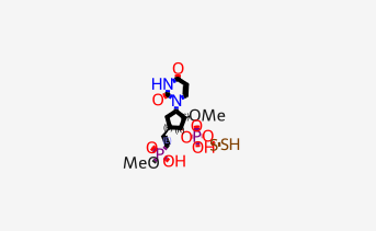 CO[C@H]1C(n2ccc(=O)[nH]c2=O)C[C@H](/C=C/P(=O)(O)OC)[C@H]1OP(=O)(O)OSS